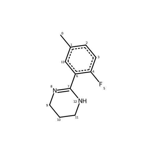 Cc1ccc(F)c(C2=NCCCN2)c1